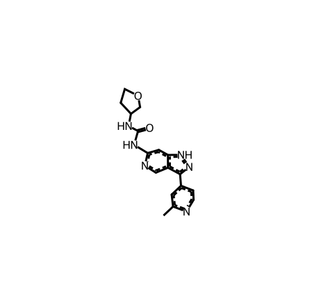 Cc1cc(-c2n[nH]c3cc(NC(=O)NC4CCOC4)ncc23)ccn1